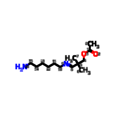 CC(=O)OCC(C)(C)C=NCCCCCCN